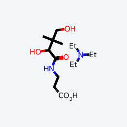 CC(C)(CO)C(O)C(=O)NCCC(=O)O.CCN(CC)CC